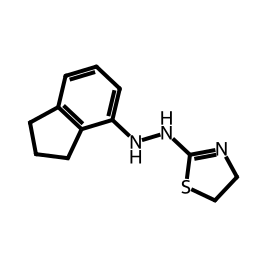 c1cc2c(c(NNC3=NCCS3)c1)CCC2